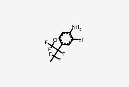 CCc1cc(C(F)(C(C)(F)F)C(F)(F)Cl)ccc1N